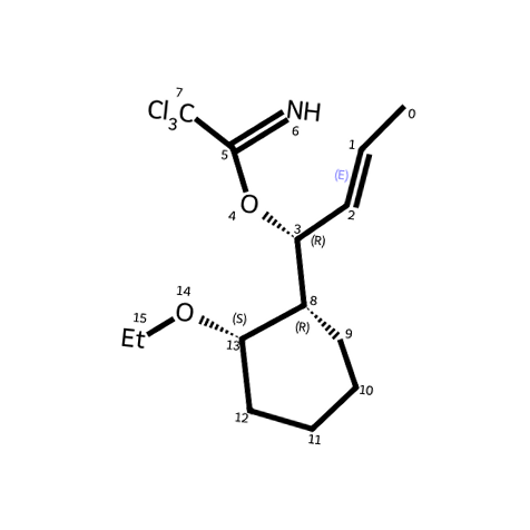 C/C=C/[C@@H](OC(=N)C(Cl)(Cl)Cl)[C@@H]1CCCC[C@@H]1OCC